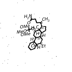 CC[C@H]1C[C@@H]2[C@H](C[C@H](OC(OC)(OC)OC)[C@]3(C)[C@@H]([C@H](C)CCC(N)=O)CC[C@@H]23)[C@@]2(C)CCCC[C@@H]12